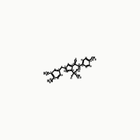 Cc1cc(Cn2cc(C(=O)Nc3ccc(C(F)(F)F)cc3)c(C(F)(F)C(F)(F)F)n2)ccc1N